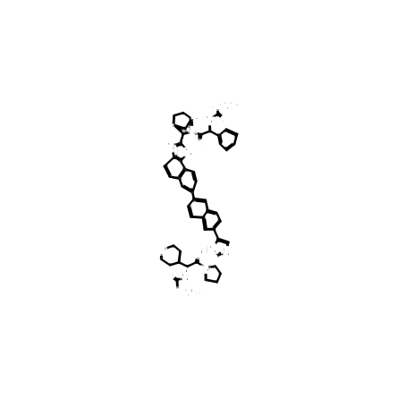 COC(=O)NC(C(=O)N1C(c2nc3ccc4cc(-c5ccc6cc(-c7cnc([C@@H]8CCCN8C(=O)[C@@H](NC(=O)OC)C8CCOCC8)[nH]7)ccc6c5)ccc4c3[nH]2)[C@H]2CC[C@@H]1C2)c1ccccc1